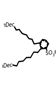 CCCCCCCCCCCCCCCCCc1cccc(S(=O)(=O)O)c1CCCCCCCCCCCCCCCCC